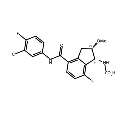 CO[C@@H]1Cc2c(C(=O)Nc3ccc(F)c(Cl)c3)ccc(F)c2[C@H]1NC(=O)O